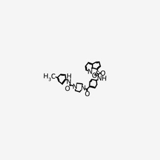 Cc1ccc(NC(=O)N2CCN(C(=O)C3=CCC(NS(=O)(=O)c4cccc5cccnc45)C=C3)CC2)cc1